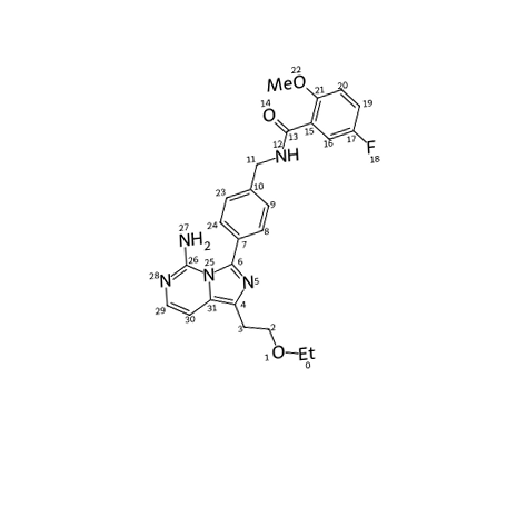 CCOCCc1nc(-c2ccc(CNC(=O)c3cc(F)ccc3OC)cc2)n2c(N)nccc12